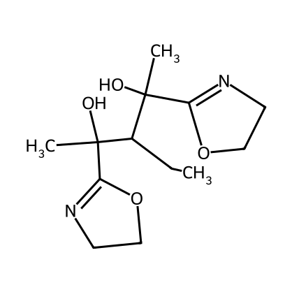 CCC(C(C)(O)C1=NCCO1)C(C)(O)C1=NCCO1